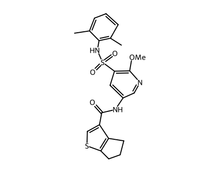 COc1ncc(NC(=O)c2csc3c2CCC3)cc1S(=O)(=O)Nc1c(C)cccc1C